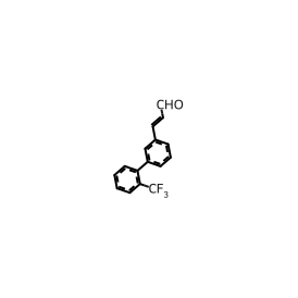 O=CC=Cc1cccc(-c2ccccc2C(F)(F)F)c1